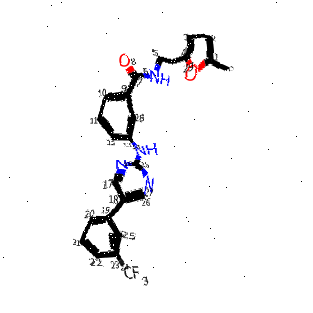 Cc1ccc(CNC(=O)c2cccc(Nc3ncc(-c4cccc(C(F)(F)F)c4)cn3)c2)o1